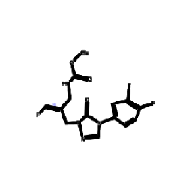 CC(C)(C)OC(=O)NC/C(=C/F)Cn1ncn(-c2ccc(F)c(F)c2)c1=O